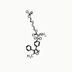 Cc1onc(-c2ccc(S(=O)(=O)N(N)C(=O)OCCSSCCO[N+](=O)[O-])cc2)c1-c1ccccc1